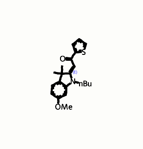 CCCCN1/C(=C/C(=O)c2cccs2)C(C)(C)c2ccc(OC)cc21